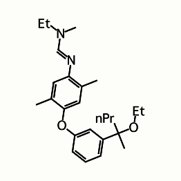 CCCC(C)(OCC)c1cccc(Oc2cc(C)c(N=CN(C)CC)cc2C)c1